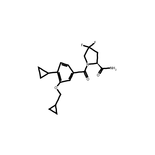 NC(=O)[C@@H]1CC(F)(F)CN1C(=O)c1ccc(C2CC2)c(OCC2CC2)c1